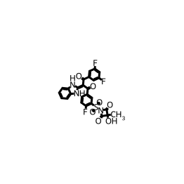 CC1(O)C(=O)N(S(=O)(=O)c2cc(C(=O)C(C(=O)c3cc(F)cc(F)c3)=C3Nc4ccccc4N3)ccc2F)C1=O